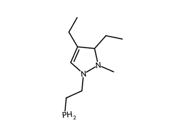 CCC1=CN(CCP)N(C)C1CC